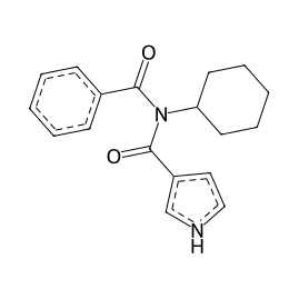 O=C(c1ccccc1)N(C(=O)c1cc[nH]c1)C1CCCCC1